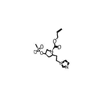 C=CCOC(=O)N1CC(OS(C)(=O)=O)CC1CCn1ccnc1